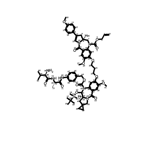 C=CCOC(=O)N1C[C@@H]2CC(c3ccc(OC)cc3)=CN2C(=O)c2cc(OC)c(OCCCOc3cc4c(cc3OC)C(=O)N3CC5(CC5)C[C@H]3C(O[Si](C)(C)C(C)(C)C)N4C(=O)OCc3ccc(NC(=O)[C@H](C)NC(=O)[C@H](N)C(C)C)cc3)cc21